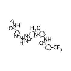 Cc1ccc(NC(=O)c2cccc(C(F)(F)F)c2)cc1N1CCc2nc(Nc3ccc(C(=O)NC4CC4)cn3)ncc2C1